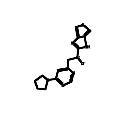 [O-][S+](Cc1cc(N2CCCC2)ncn1)c1nc2cscc2[nH]1